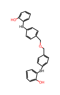 Oc1ccccc1Bc1ccc(COCc2ccc(Bc3ccccc3O)cc2)cc1